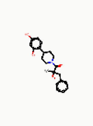 CC(O)(Cc1ccccc1)C(=O)N1CCC(c2ccc(O)cc2O)CC1